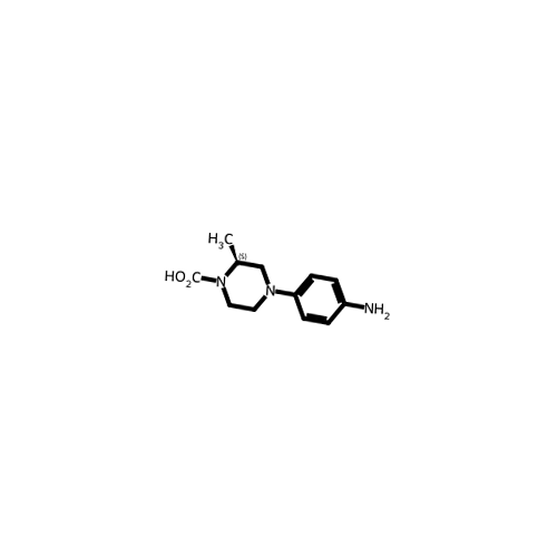 C[C@H]1CN(c2ccc(N)cc2)CCN1C(=O)O